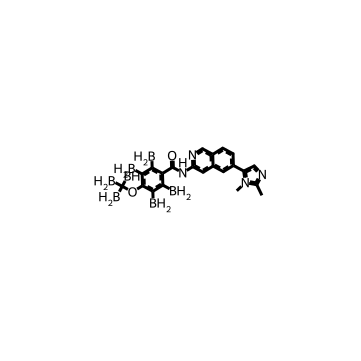 Bc1c(B)c(C(=O)Nc2cc3cc(-c4cnc(C)n4C)ccc3cn2)c(B)c(B)c1OC(B)(B)B